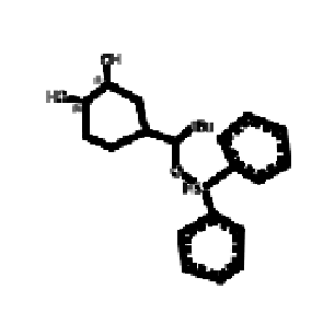 CC(C)(C)C(O[SiH](c1ccccc1)c1ccccc1)C1CC[C@@H](O)[C@@H](O)C1